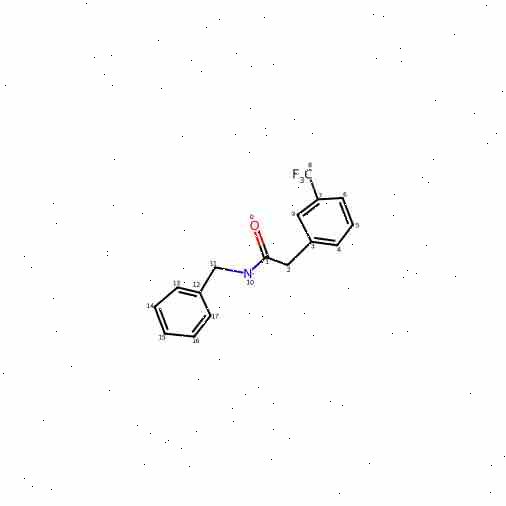 O=C(Cc1cccc(C(F)(F)F)c1)[N]Cc1ccccc1